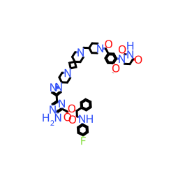 COc1ccc(C(=O)N2CCC(CN3CCC4(CC3)CC(N3CCC(n5cc(-c6cnc(N)c(C(=O)O[C@@H](C(=O)Nc7ccc(F)cc7)c7ccccc7)n6)cn5)CC3)C4)CC2)cc1N1CCC(=O)NC1=O